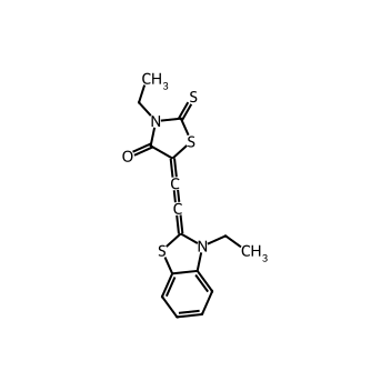 CCN1C(=O)C(=C=C=C2Sc3ccccc3N2CC)SC1=S